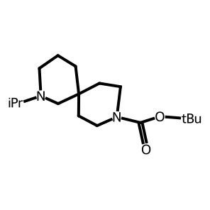 CC(C)N1CCCC2(CCN(C(=O)OC(C)(C)C)CC2)C1